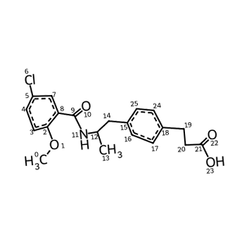 COc1ccc(Cl)cc1C(=O)NC(C)Cc1ccc(CCC(=O)O)cc1